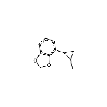 CC1CC1c1cccc2c1OCO2